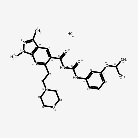 Cc1nn(C)c2nc(CCN3CCOCC3)c(C(=O)NC(=O)Nc3cccc(OC(C)C)c3)cc12.Cl